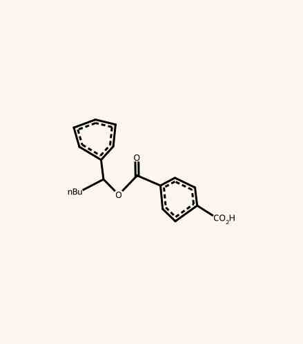 CCCCC(OC(=O)c1ccc(C(=O)O)cc1)c1ccccc1